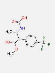 COC(O)[C@H](c1ccc(C(F)(F)F)cc1)[C@H](C)NC(=O)O